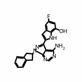 Nc1ncnc2c1c(-c1cc3cc(F)cc(O)c3[nH]1)nn2C1Cc2ccccc2C1